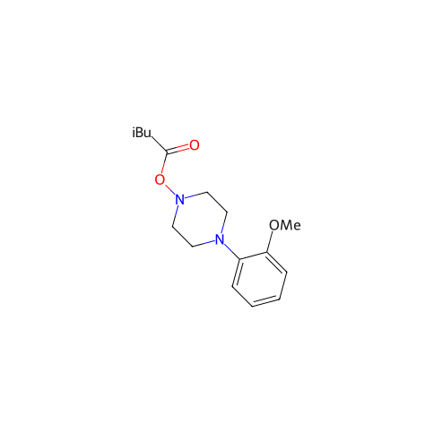 CCC(C)C(=O)ON1CCN(c2ccccc2OC)CC1